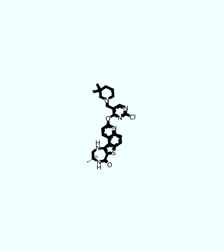 C[C@@H]1CNc2c(sc3ccc4nc(Oc5nc(Cl)ncc5CN5CCCC(C)(C)C5)ccc4c23)C(=O)N1